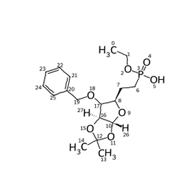 CCOP(=O)(O)CC[C@H]1O[C@@H]2OC(C)(C)O[C@H]2C1OCc1ccccc1